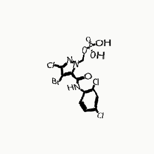 O=C(Nc1ccc(Cl)cc1Cl)c1c(Br)c(Cl)nn1COP(=O)(O)O